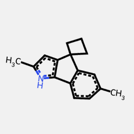 Cc1ccc2c(c1)C1(CCC1)c1cc(C)[nH]c1-2